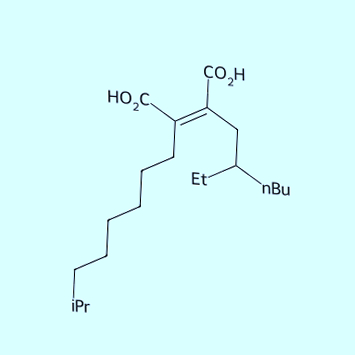 CCCCC(CC)C/C(C(=O)O)=C(\CCCCCCC(C)C)C(=O)O